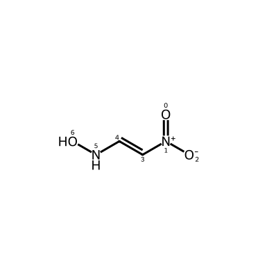 O=[N+]([O-])/C=C/NO